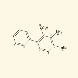 CCCCc1ccc(-c2ccccc2)c(C(=O)O)c1N